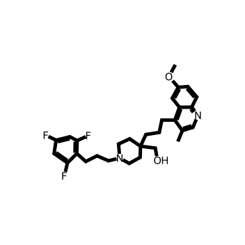 COc1ccc2ncc(C)c(CCCC3(CO)CCN(CCCc4c(F)cc(F)cc4F)CC3)c2c1